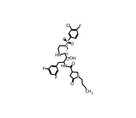 CCCCN1CC(C(=O)NC(Cc2cc(F)cc(F)c2)[C@H](O)[C@H]2CN(S(=O)(=O)c3ccc(F)c(Cl)c3)CCN2)CC1=O